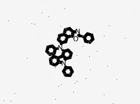 c1ccc(-c2nc3ccc4ccc(N(c5ccccc5)c5cccc6c5c5ccccc5n6-c5ccccc5)cc4c3o2)cc1